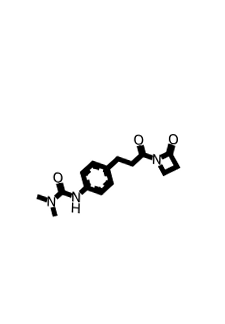 CN(C)C(=O)Nc1ccc(CCC(=O)N2CCC2=O)cc1